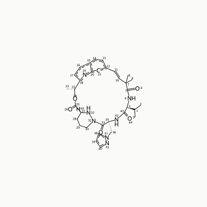 CC(C)[C@@H]1NC(=O)C(C)(C)/C=C/c2ccc3ccc(nc3c2)[C@@H](C)OC(=O)[C@@H]2CCCN(N2)C(=O)[C@@H](Cn2cccn2)NC1=O